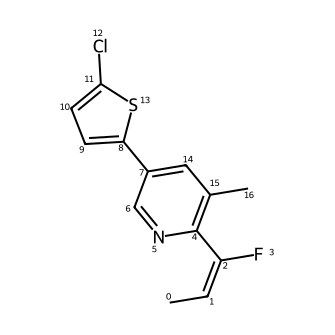 C/C=C(/F)c1ncc(-c2ccc(Cl)s2)cc1C